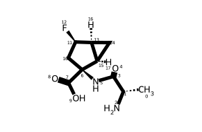 C[C@H](N)C(=O)N[C@@]1(C(=O)O)C[C@@H](F)[C@H]2C[C@H]21